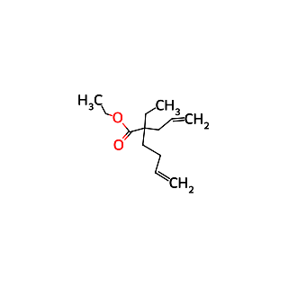 C=CCCC(CC)(CC=C)C(=O)OCC